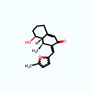 Cc1ccc(/C=C2/C(=O)C=C3CCC[C@H](O)[C@H]3[C@@H]2C)o1